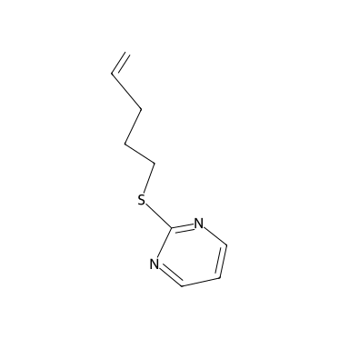 C=CCCCSc1ncccn1